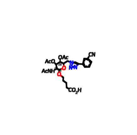 CC(=O)N[C@H]1C(OC(C)=O)[C@@H](OC(C)=O)C(Cn2cc(-c3cccc(C#N)c3)nn2)O[C@H]1OCCCCC(=O)O